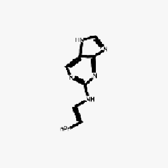 CCCC=CNc1ncc2[nH]cnc2n1